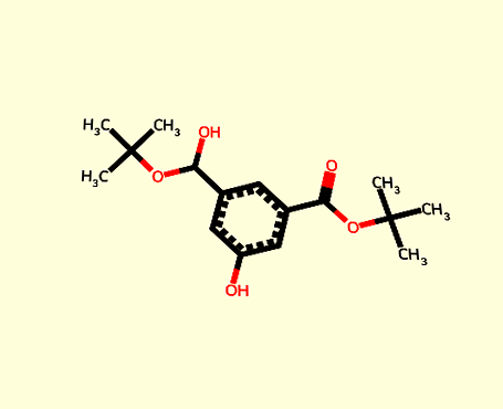 CC(C)(C)OC(=O)c1cc(O)cc(C(O)OC(C)(C)C)c1